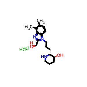 Cc1ccc2c(nc(CO)n2CCC[C@H]2NCCC[C@@H]2O)c1C.Cl.Cl